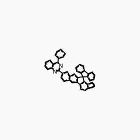 c1ccc(-c2nc(-c3ccc4cc5c(cc4c3)C3(c4ccccc4-c4ccccc43)c3c-5ccc4ccccc34)nc3ccccc23)cc1